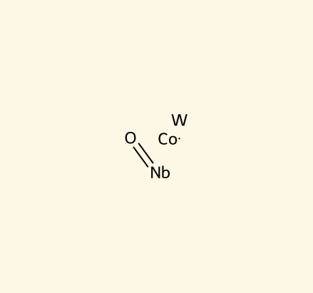 [Co].[O]=[Nb].[W]